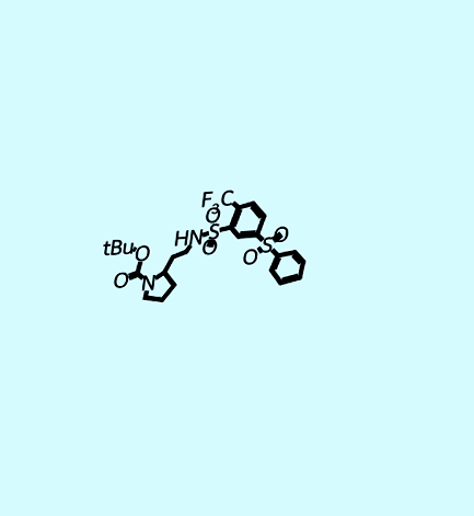 CC(C)(C)OC(=O)N1CCCC1CCNS(=O)(=O)c1cc(S(=O)(=O)c2ccccc2)ccc1C(F)(F)F